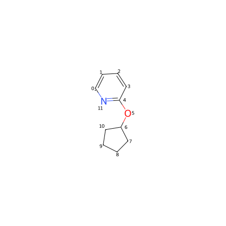 [c]1cccc(OC2CCCC2)n1